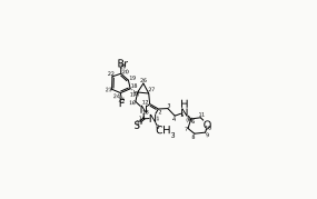 Cn1c(CCN[C@@H]2CCCOC2)c2n(c1=S)C[C@@]1(c3cc(Br)ccc3F)CC21